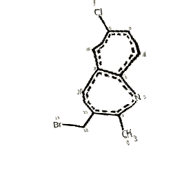 Cc1nc2ccc(Cl)cc2cc1CBr